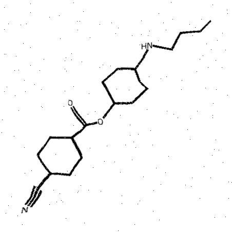 CCCCNC1CCC(OC(=O)C2CCC(C#N)CC2)CC1